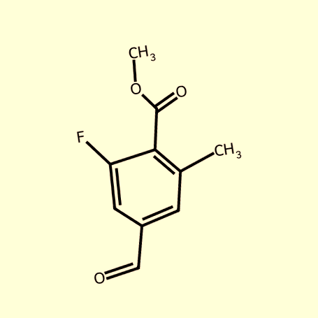 COC(=O)c1c(C)cc(C=O)cc1F